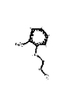 COc1ccccc1OCCC(C)C